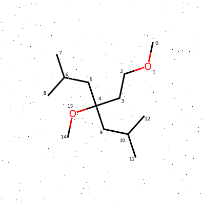 COCCC(CC(C)C)(CC(C)C)OC